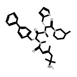 C/C(=C\C(=O)N(C)[C@H](Cc1ccc(-c2ccccc2)cc1)C(=O)N(C)[C@H](Cc1cccs1)C(=O)N1CCCC(C)C1)CC(C)(C)N